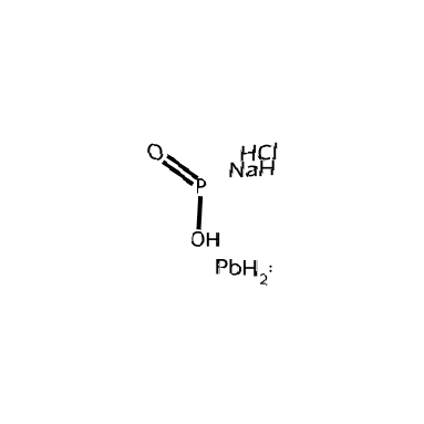 Cl.O=PO.[NaH].[PbH2]